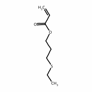 C=CC(=O)OCCCSCC